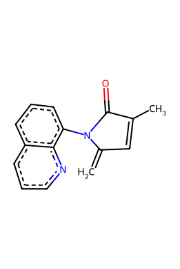 C=C1C=C(C)C(=O)N1c1cccc2cccnc12